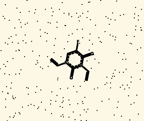 C=Cn1cc(F)c(=O)n(C=C)c1=O